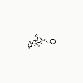 CC1(Cn2cnc(OCc3ccccc3)cc2=O)C=NC=N1